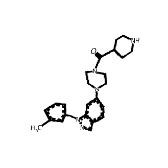 Cc1cccc(-n2ncc3ccc(N4CCN(C(=O)C5CCNCC5)CC4)cc32)c1